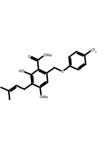 COC(=O)c1c(CSc2ccc(C(F)(F)F)cc2)cc(OC)c(CC=C(C)C)c1O